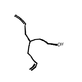 C=CCC(CC=C)CCO